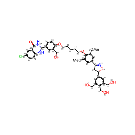 COc1cc(C2=NOC(c3cc(CO)c(CO)c(CO)c3)C2)cc(OC)c1OCCCCCOc1ccc(C2NC(=O)c3cc(Cl)ccc3N2)cc1CO